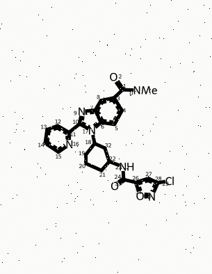 CNC(=O)c1ccc2c(c1)nc(-c1ccccn1)n2C1CCCC(NC(=O)c2cc(Cl)no2)C1